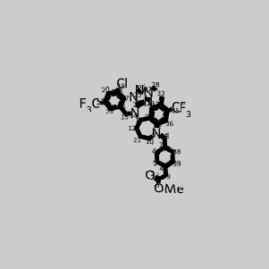 COC(=O)CC1CCC(CN2CCC[C@H](N(Cc3cc(Cl)cc(C(F)(F)F)c3)c3nnn(C)n3)c3cc(C)c(C(F)(F)F)cc32)CC1